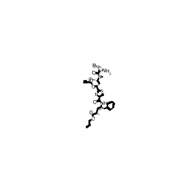 C#CCO[C@H](C[C@H](C(C)C)N(C)C(=O)[C@@H](N)[C@@H](C)CC)c1nc(C(=O)N[C@@H](Cc2ccccc2)C[C@H](C)C(=O)OCC=C)cs1